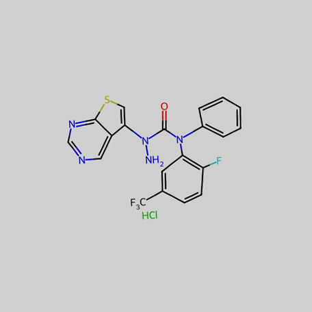 Cl.NN(C(=O)N(c1ccccc1)c1cc(C(F)(F)F)ccc1F)c1csc2ncncc12